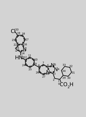 O=C(O)C(Cc1nnc2cc(-c3ccc(Nc4nc5ccc(Cl)cc5s4)cc3)ccn12)C1CCCCC1